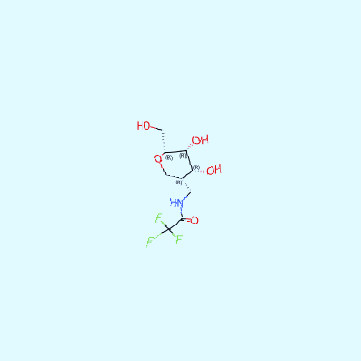 O=C(NC[C@@H]1CO[C@H](CO)[C@H](O)[C@@H]1O)C(F)(F)F